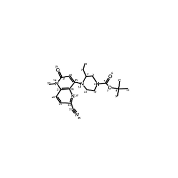 CCC1CN(C(=O)OC(C)(C)C)CCN1c1cc(=O)n(C)c2ccc(C#N)nc12